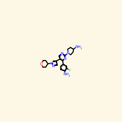 Nc1ccc(-c2nc(N3CCC(N)CC3)ncc2-c2cnn(C3CCOCC3)c2)cc1F